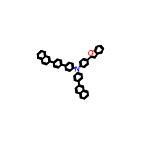 c1ccc2cc(-c3ccc(-c4ccc(N(c5ccc(-c6ccc7ccccc7c6)cc5)c5ccc(-c6cc7ccccc7o6)cc5)cc4)cc3)ccc2c1